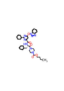 CCCCOC(=O)N1CCN(C(=O)[C@H](Cc2ccccc2)NC(=O)c2cc(On3nnc4ccccc43)nc(-c3ccccc3)n2)CC1